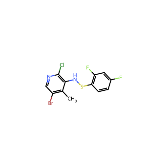 Cc1c(Br)cnc(Cl)c1NSc1ccc(F)cc1F